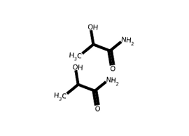 CC(O)C(N)=O.CC(O)C(N)=O